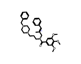 COc1cc(C(=O)N(CCCN2CCN(Cc3ccccc3)CC2)C/C(C)=C/c2ccccc2)cc(OC)c1OC